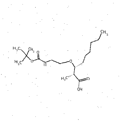 CCCCCC[C@@H](OCCNC(=O)OC(C)(C)C)[C@@H](C)C(=O)O